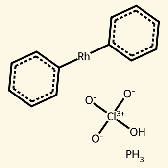 P.[O-][Cl+3]([O-])([O-])O.c1cc[c]([Rh][c]2ccccc2)cc1